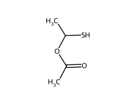 CC(=O)OC(C)S